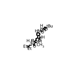 CCN(CC)CCNC(=O)c1c(C)[nH]c(/C=C2\C(=O)Nc3cc(NC(=O)Nc4cc(C(C)(C)C)on4)ccc32)c1C